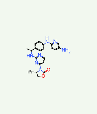 CC(C)[C@H]1COC(=O)N1c1ccnc(N[C@@H](C)c2ccc(Nc3ccc(N)cn3)cc2)n1